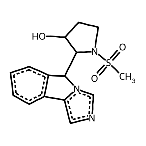 CS(=O)(=O)N1CCC(O)C1C1c2ccccc2-c2cncn21